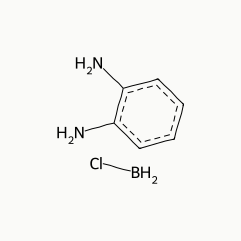 BCl.Nc1ccccc1N